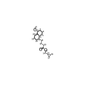 COc1cccc2c(CCCC(=O)OCC3CC3)cccc12